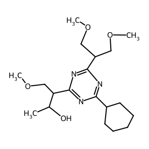 COCC(COC)c1nc(C2CCCCC2)nc(C(COC)C(C)O)n1